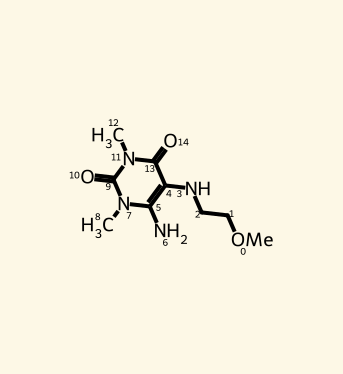 COCCNc1c(N)n(C)c(=O)n(C)c1=O